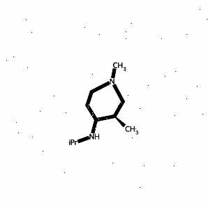 CC(C)NC1CCN(C)C[C@H]1C